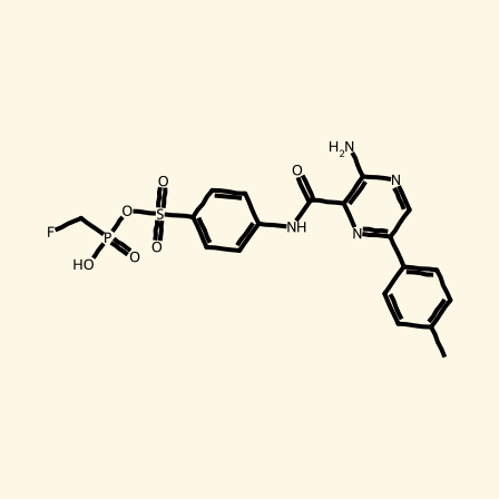 Cc1ccc(-c2cnc(N)c(C(=O)Nc3ccc(S(=O)(=O)OP(=O)(O)CF)cc3)n2)cc1